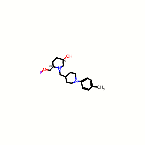 Cc1ccc(N2CCC(CN3C[C@H](O)CC[C@@H]3COI)CC2)cc1